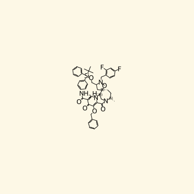 C[C@H]1CC[C@@]2(CC(CO[Si](c3ccccc3)(c3ccccc3)C(C)(C)C)N(Cc3ccc(F)cc3F)O2)[C@H]2CN1C(=O)c1c(OCc3ccccc3)c(=O)c(C(N)=O)cn12